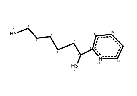 SCCCCCC(S)c1ccccn1